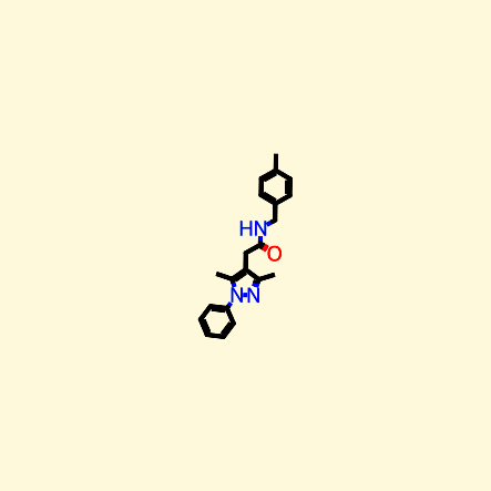 Cc1ccc(CNC(=O)Cc2c(C)nn(-c3ccccc3)c2C)cc1